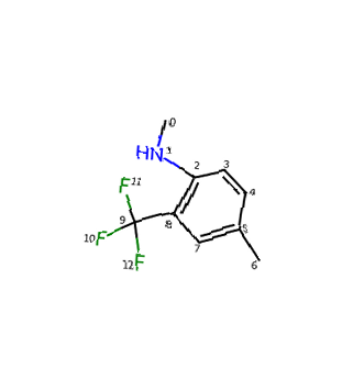 CNc1ccc(C)cc1C(F)(F)F